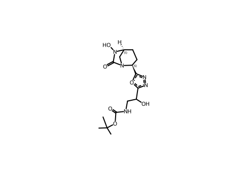 CC(C)(C)OC(=O)NCC(O)c1nnc([C@@H]2CC[C@H]3CN2C(=O)N3O)o1